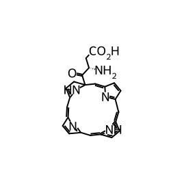 N[C@@H](CC(=O)O)C(=O)C12C=C3C=CC(=N3)C=c3ccc([nH]3)=CC3=NC(=CC(=CC1)N2)C=C3